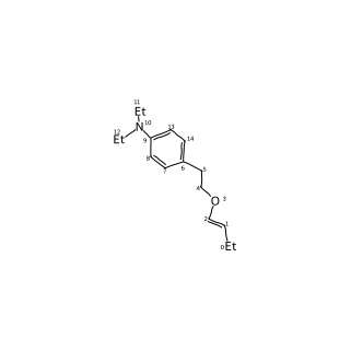 CCC=COCCc1ccc(N(CC)CC)cc1